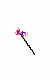 CCCCCCCCC=CCCCCCCCCC(O)CNP(=O)=O